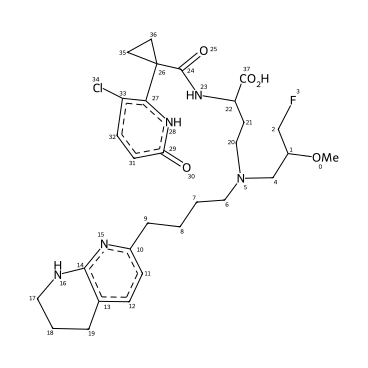 COC(CF)CN(CCCCc1ccc2c(n1)NCCC2)CCC(NC(=O)C1(c2[nH]c(=O)ccc2Cl)CC1)C(=O)O